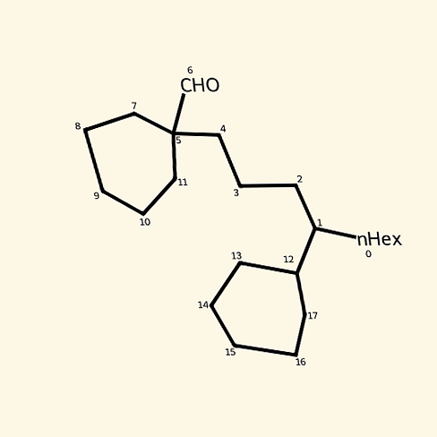 CCCCCCC(CCCC1(C=O)CCCCC1)C1CCCCC1